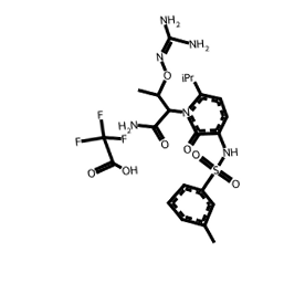 Cc1cccc(S(=O)(=O)Nc2ccc(C(C)C)n(C(C(N)=O)C(C)ON=C(N)N)c2=O)c1.O=C(O)C(F)(F)F